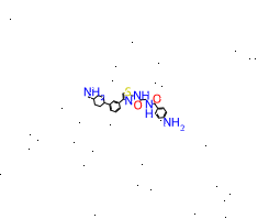 NCC1CCC(c2cccc(-c3csc(NC(=O)CNC(=O)c4ccc(N)cc4)n3)c2)CC1